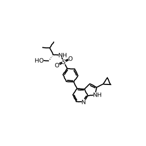 CC(C)[C@@H](CO)NS(=O)(=O)c1ccc(-c2ccnc3[nH]c(C4CC4)cc23)cc1